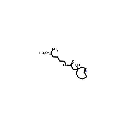 N[C@@H](CCCCNC(=O)CC1(O)C/C=C/CCCC1)C(=O)O